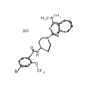 CN(C)c1nc(N2CCC(NC(=O)c3ccc(Br)cc3OC(F)(F)F)CC2)nc2ccccc12.Cl